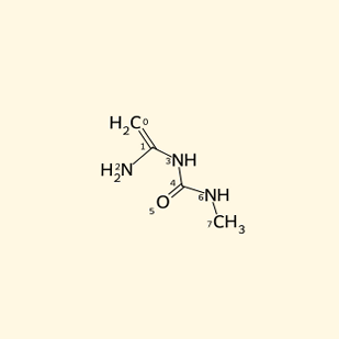 C=C(N)NC(=O)NC